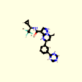 Cc1cc(-c2cccc(-c3ncncn3)c2)nc2c(C(=O)NC(C3CC3)C(F)(F)F)cnn12